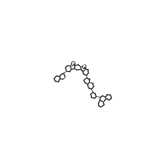 c1cc(-c2ccc3cc(-c4ccc5oc6cc7oc8ccc(-c9ccc%10ccccc%10c9)cc8c7cc6c5c4)ccc3c2)cc(-c2cc3ccccc3c3ccccc23)c1